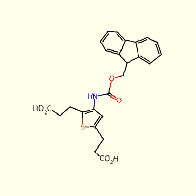 O=C(O)CCc1cc(NC(=O)OCC2c3ccccc3-c3ccccc32)c(CCC(=O)O)s1